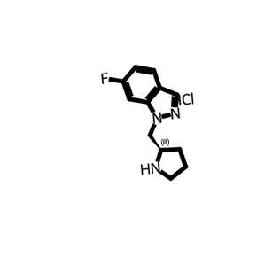 Cl.Fc1ccc2cnn(C[C@H]3CCCN3)c2c1